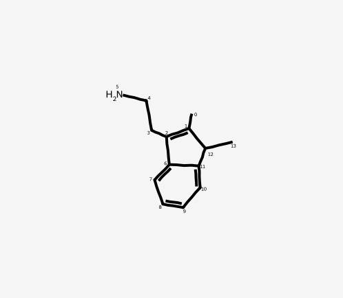 CC1=C(CCN)c2ccccc2C1C